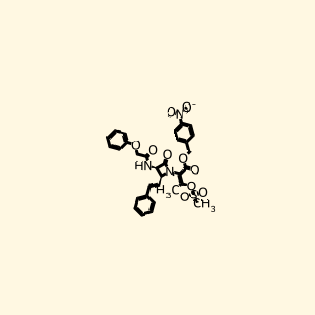 CC(OS(C)(=O)=O)=C(C(=O)OCc1ccc([N+](=O)[O-])cc1)N1C(=O)[C@H](NC(=O)COc2ccccc2)[C@@H]1C=Cc1ccccc1